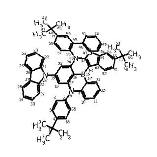 CC(C)(C)c1ccc(N2c3ccccc3B3c4c2cc(-n2c5ccccc5c5ccccc52)cc4N(c2ccc(C(C)(C)C)cc2-c2ccccc2)c2sc4cc(C(C)(C)C)ccc4c23)cc1